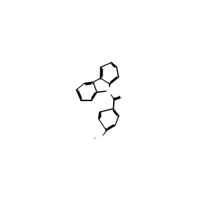 CCC(C)c1ccc(C(=O)n2c3ccccc3c3ccccc32)cc1